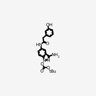 CC(C)(C)OC(=O)On1nc(N)c2cc(NC(=O)Cc3cccc(O)c3)ccc21